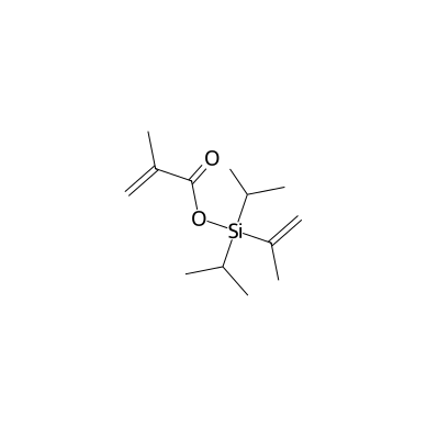 C=C(C)C(=O)O[Si](C(=C)C)(C(C)C)C(C)C